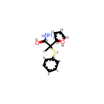 CC(Sc1cc[c]cc1)(C(N)=O)c1ccco1